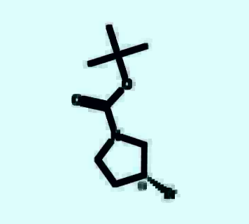 CC(C)(C)OC(=O)N1CC[C@@H](Br)C1